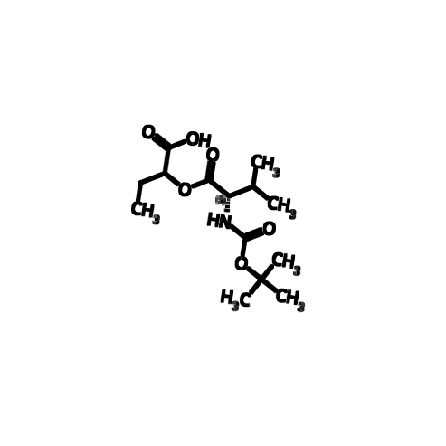 CCC(OC(=O)[C@@H](NC(=O)OC(C)(C)C)C(C)C)C(=O)O